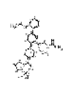 CCOc1ncccc1-c1ccc(N2CCN(C(=O)N3CCC[C@H]3C(F)(F)F)C[C@H]2CC)c(OCCNC)n1